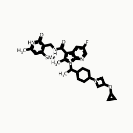 CSc1cc(C)[nH]c(=O)c1CNC(=O)c1c(C)n(C(C)C2CCC(N3CC(OC4CC4)C3)CC2)c2ncc(F)cc12